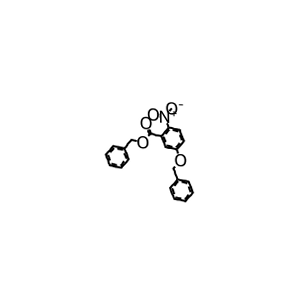 O=C(OCc1ccccc1)c1cc(OCc2ccccc2)ccc1[N+](=O)[O-]